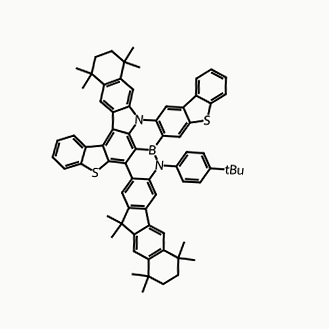 CC(C)(C)c1ccc(N2B3c4cc5sc6ccccc6c5cc4-n4c5cc6c(cc5c5c7c(sc8ccccc87)c(c3c54)-c3cc4c(cc32)-c2cc3c(cc2C4(C)C)C(C)(C)CCC3(C)C)C(C)(C)CCC6(C)C)cc1